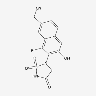 N#CCc1ccc2cc(O)c(N3CC(=O)NS3(=O)=O)c(F)c2c1